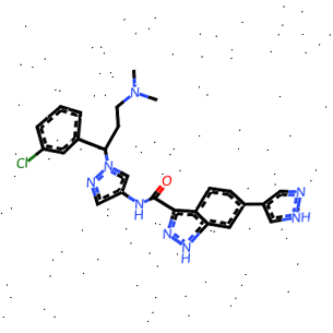 CN(C)CCC(c1cccc(Cl)c1)n1cc(NC(=O)c2n[nH]c3cc(-c4cn[nH]c4)ccc23)cn1